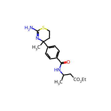 CCOC(=O)CC(C)NC(=O)c1ccc(C2(C)CCSC(N)=N2)cc1